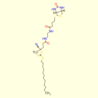 CCCCCCCCCCCCSC(=S)SC(C)(C#N)CCC(=O)NCCNC(=O)CCCC[C@H]1SC[C@H]2NC(=O)N[C@H]21